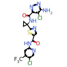 Nc1ncnc(C(=O)NC2(c3ncc(C(=O)Nc4cc(C(F)(F)F)c(Cl)cn4)s3)CC2)c1Cl